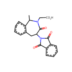 CC1c2ccccc2CC(N2C(=O)c3ccccc3C2=O)C(=O)N1CC(=O)O